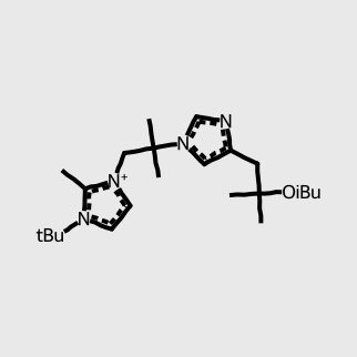 Cc1n(C(C)(C)C)cc[n+]1CC(C)(C)n1cnc(CC(C)(C)OCC(C)C)c1